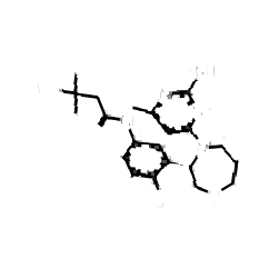 Cc1cc(N2CCCOC[C@H]2c2cc(NC(=O)CC(C)(C)O)ccc2Cl)nc(N)n1